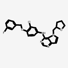 Fc1cccc(COc2ccc(Nc3ncnc4ccn(CC5CCCO5)c34)cc2Cl)c1